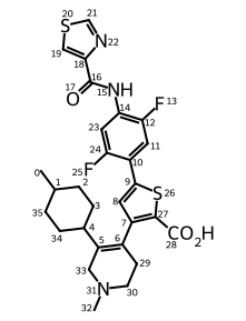 CC1CCC(C2=C(c3cc(-c4cc(F)c(NC(=O)c5cscn5)cc4F)sc3C(=O)O)CCN(C)C2)CC1